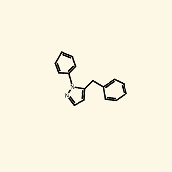 c1ccc(Cc2ccnn2-c2ccccc2)cc1